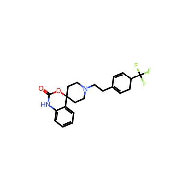 O=C1Nc2ccccc2C2(CCN(CCC3=CCC(C(F)(F)F)C=C3)CC2)O1